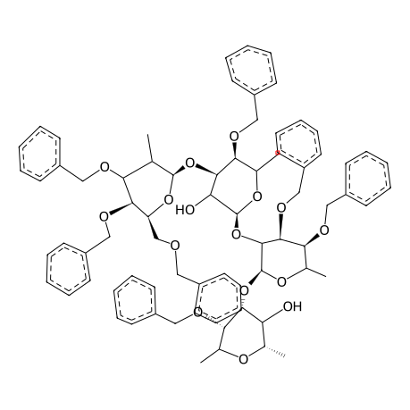 CC1C(OCc2ccccc2)[C@H](OCc2ccccc2)[C@H](COCc2ccccc2)O[C@@H]1O[C@@H]1C(O)[C@H](OC2[C@H](O[C@@H]3C(O)[C@H](C)OC(C)[C@@H]3OCc3ccccc3)OC(C)[C@H](OCc3ccccc3)[C@@H]2OCc2ccccc2)OC(C)[C@@H]1OCc1ccccc1